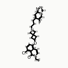 O=c1c2c(Cl)ccc(OC3CC4(C3)CN(CCCc3cc5nncn5cc3F)C4)c2ccn1CF